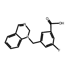 O=C(O)c1cc(F)cc(CN2CN=Cc3ccccc32)c1